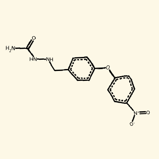 NC(=O)NNCc1ccc(Oc2ccc([N+](=O)[O-])cc2)cc1